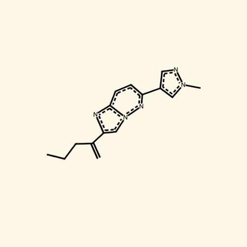 C=C(CCC)c1cn2nc(-c3cnn(C)c3)ccc2n1